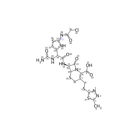 Cc1nnc(SCC2=C(C(=O)O)N3C(=O)[C@H](NC(=O)C(NC(N)=O)c4cs/c(=N/C(=O)CCl)[nH]4)C3SC2)s1